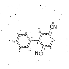 N#Cc1ccc(C#N)c(-c2c[c]ccc2)c1